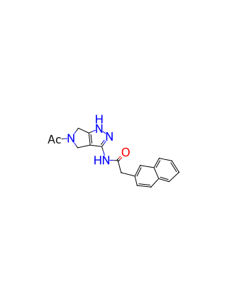 CC(=O)N1Cc2[nH]nc(NC(=O)Cc3ccc4ccccc4c3)c2C1